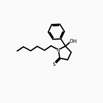 CCCCCCN1C(=S)CCC1(O)c1ccccc1